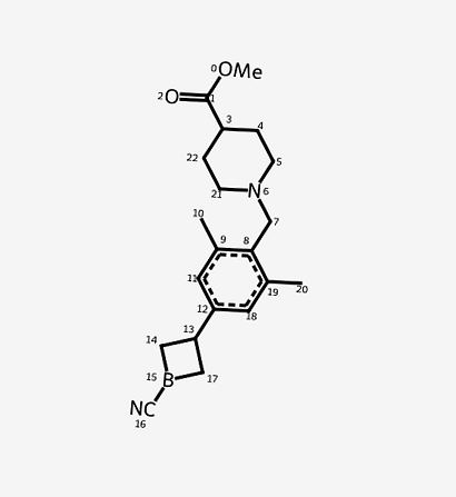 COC(=O)C1CCN(Cc2c(C)cc(C3CB(C#N)C3)cc2C)CC1